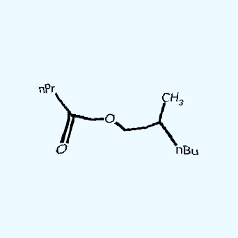 CCCCC(C)COC(=O)CCC